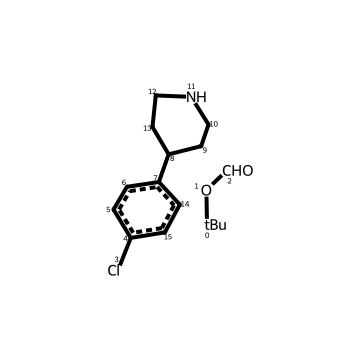 CC(C)(C)OC=O.Clc1ccc(C2CCNCC2)cc1